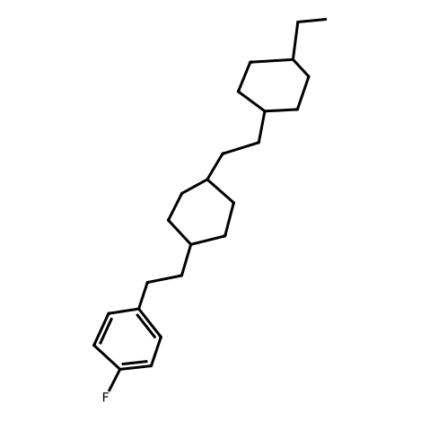 CCC1CCC(CCC2CCC(CCc3ccc(F)cc3)CC2)CC1